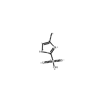 Cc1c[nH]c(S(=O)(=O)O)n1